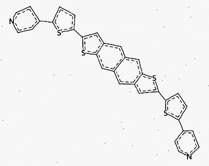 c1cc(-c2ccc(-c3cc4cc5cc6sc(-c7ccc(-c8ccncc8)s7)cc6cc5cc4s3)s2)ccn1